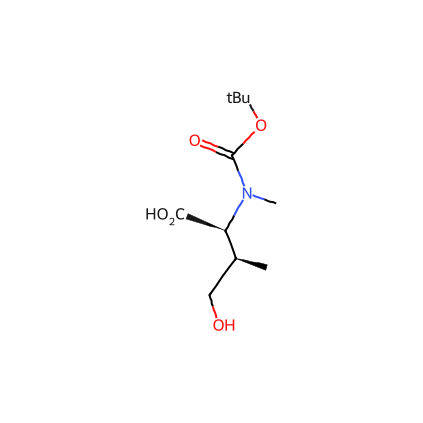 C[C@@H](CO)[C@@H](C(=O)O)N(C)C(=O)OC(C)(C)C